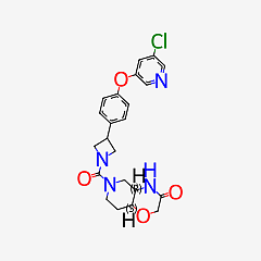 O=C1CO[C@H]2CCN(C(=O)N3CC(c4ccc(Oc5cncc(Cl)c5)cc4)C3)C[C@H]2N1